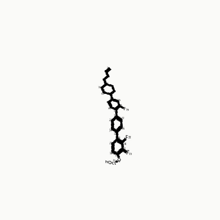 C=CCCC1CCC(c2ccc(-c3ccc(-c4ccc(OCCCCCCCC)c(F)c4F)cc3)c(F)c2)CC1